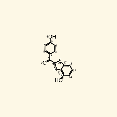 O=C(c1ccc(O)cc1)c1nc2c(O)cccc2s1